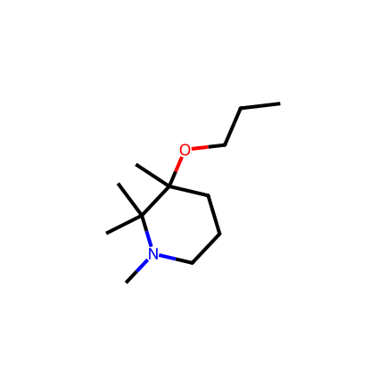 CCCOC1(C)CCCN(C)C1(C)C